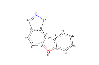 C1=NCc2c1ccc1oc3ccccc3c21